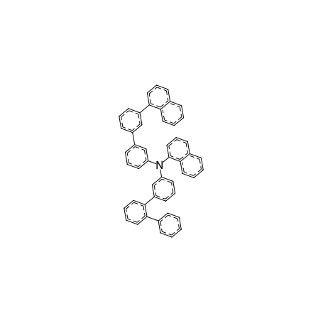 c1ccc(-c2ccccc2-c2cccc(N(c3cccc(-c4cccc(-c5cccc6ccccc56)c4)c3)c3cccc4ccccc34)c2)cc1